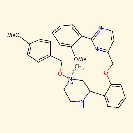 COc1ccc(CO[N@+]2(C)CCNC(c3ccccc3OCc3ccnc(-c4ccccc4OC)n3)C2)cc1